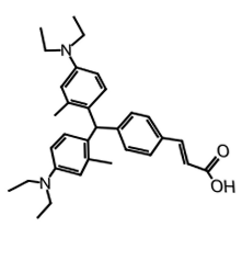 CCN(CC)c1ccc(C(c2ccc(C=CC(=O)O)cc2)c2ccc(N(CC)CC)cc2C)c(C)c1